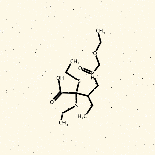 CCOC[PH](=O)CC(CC)C(SCC)(SCC)C(=O)O